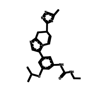 CCNC(=O)Nc1cc(OC(C)C)cc(-c2cnc3n2C=CC(c2nnc(C)s2)C3)c1